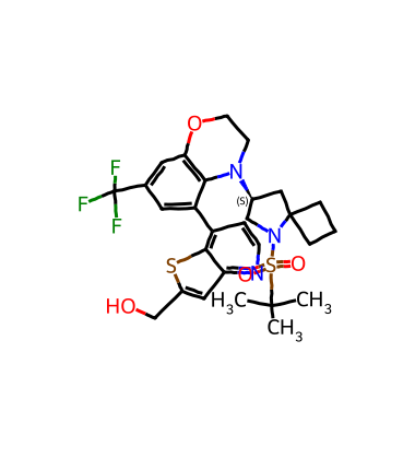 CC(C)(C)S(=O)(=O)N1C[C@@H](N2CCOc3cc(C(F)(F)F)cc(-c4ccnc5cc(CO)sc45)c32)CC12CCC2